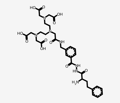 NC(CCc1ccccc1)C(=O)NNC(=O)c1cccc(CNC(=O)CN(CCN(CC(=O)O)CC(=O)O)CCN(CC(=O)O)CC(=O)O)c1